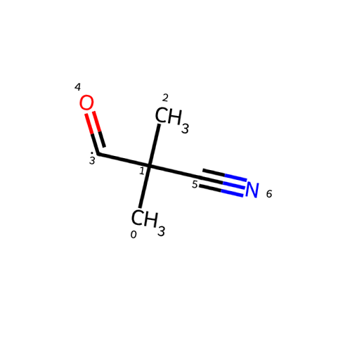 CC(C)([C]=O)C#N